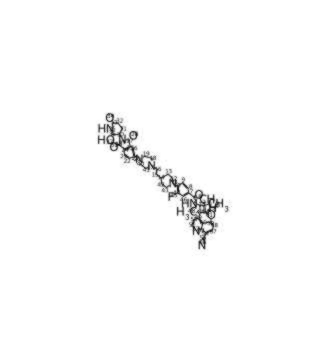 CC1(C)C(NC(=O)c2ccc(N3CCC(CCN4CCN(c5ccc6c(c5)C(=O)N(C5CCC(=O)N[C@@H]5O)C6=O)CC4)CC3)c(F)c2)[C@]2(C)c3ccnc4c(C#N)ccc(c34)O[C@@H]12